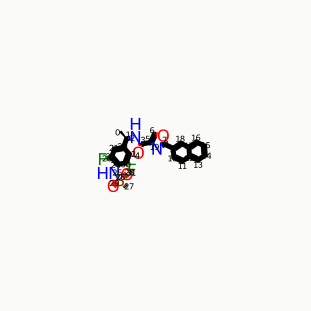 C[C@@H](NC(=O)c1coc(-c2ccc3ccccc3c2)n1)c1cc(F)c(NS(C)(=O)=O)c(F)c1